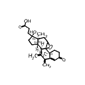 C=C1C(=C)[C@H]2[C@@H]3CC[C@](O)(CCC(=O)O)[C@@]3(C)CC3O[C@]32[C@@]2(C)CCC(=O)C=C12